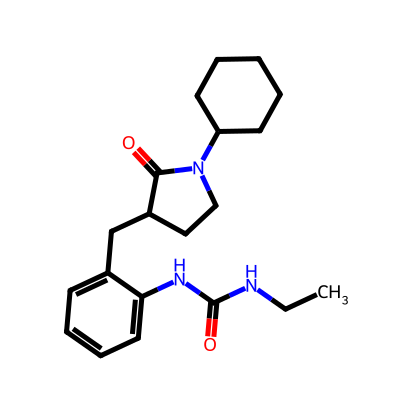 CCNC(=O)Nc1ccccc1CC1CCN(C2CCCCC2)C1=O